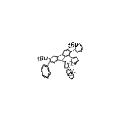 CC(C)(C)c1cc2c(cc1-c1ccccc1)[CH]([Zr+2])c1c-2cc(C(C)(C)C)c(-c2ccccc2)c1C1=CC=CC1.[Cl-].[Cl-]